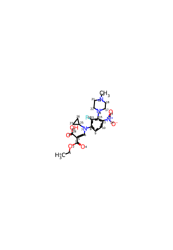 CCOC(=O)C(=CN(c1ccc([N+](=O)[O-])c(N2CCN(C)CC2)c1F)C1CC1)C(=O)O